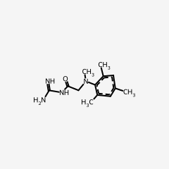 Cc1cc(C)c(N(C)CC(=O)NC(=N)N)c(C)c1